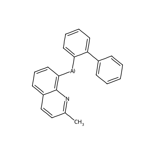 Cc1ccc2ccc[c]([Al][c]3ccccc3-c3ccccc3)c2n1